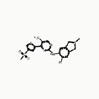 CCc1cc2c(cc1Nc1ncc(C(F)(F)F)c(-c3cc(S(C)(=O)=O)cs3)n1)CN(C)C2